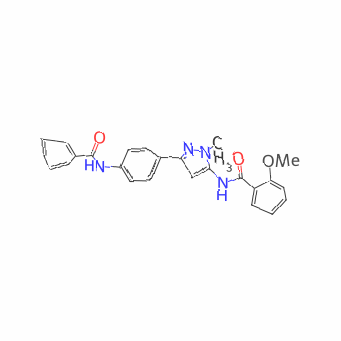 COc1ccccc1C(=O)Nc1cc(-c2ccc(NC(=O)c3ccccc3)cc2)nn1C